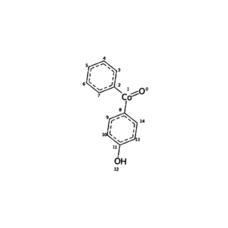 [O]=[Co]([c]1ccccc1)[c]1ccc(O)cc1